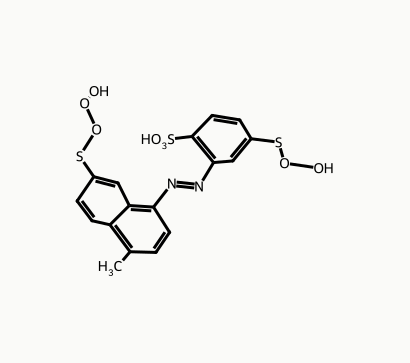 Cc1ccc(N=Nc2cc(SOO)ccc2S(=O)(=O)O)c2cc(SOOO)ccc12